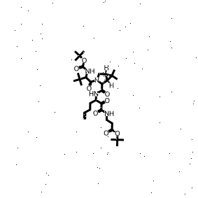 C=CCCC(NC(=O)C1[C@@H]2[C@H](CN1C(=O)C(NC(=O)OC(C)(C)C)C(C)(C)C)C2(C)C)C(=O)C(=O)NCCC(=O)OC(C)(C)C